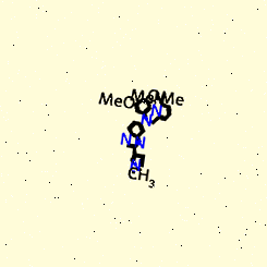 CNc1cccc(CN(c2cc(OC)cc(OC)c2)c2ccc3ncc(-c4ccn(C)c4)nc3c2)n1